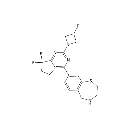 FC1CN(c2nc(-c3ccc4c(c3)SCCNC4)c3c(n2)C(F)(F)CC3)C1